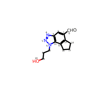 O=Cc1cc2nnn(CCCO)c2c2c1CCC2